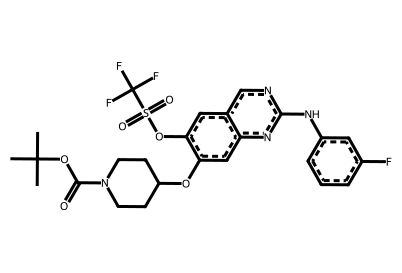 CC(C)(C)OC(=O)N1CCC(Oc2cc3nc(Nc4cccc(F)c4)ncc3cc2OS(=O)(=O)C(F)(F)F)CC1